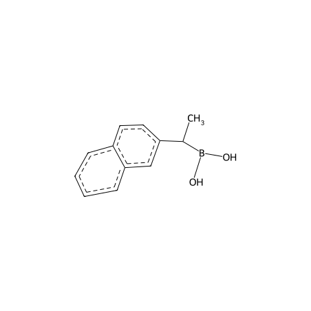 CC(B(O)O)c1ccc2ccccc2c1